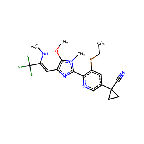 CCSc1cc(C2(C#N)CC2)cnc1-c1nc(/C=C(\NC)C(F)(F)F)c(OC)n1C